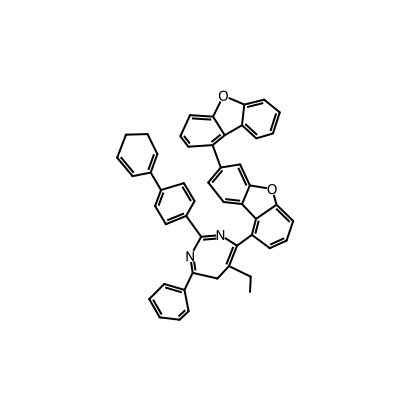 CCC1=C(c2cccc3oc4cc(-c5cccc6oc7ccccc7c56)ccc4c23)N=C(c2ccc(C3=CCCC=C3)cc2)N=C(c2ccccc2)C1